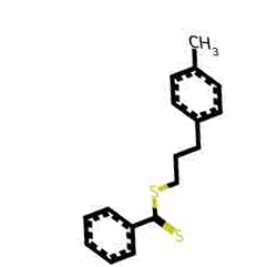 Cc1ccc(CCCSC(=S)c2ccccc2)cc1